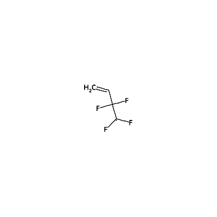 C=CC(F)(F)[C](F)F